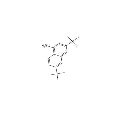 CC(C)(C)c1ccc2c(N)cc(C(C)(C)C)cc2c1